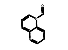 O=CN1C=CC=C2N=CCC=C21